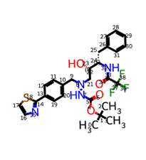 CC(C)(C)OC(=O)NN(Cc1ccc(-c2nccs2)cc1)C[C@H](O)[C@H](Cc1ccccc1)NC(=O)C(F)(F)F